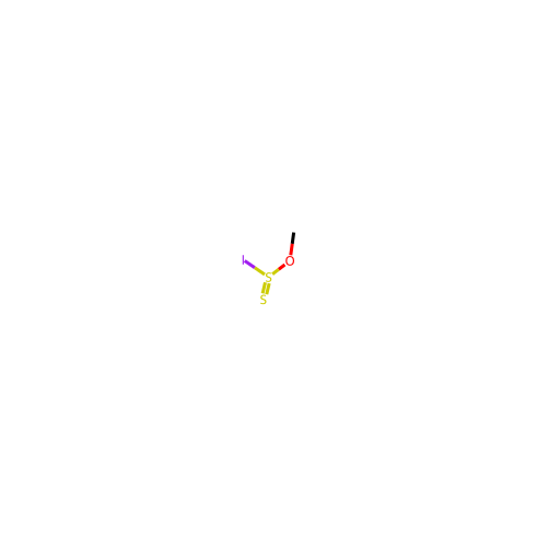 COS(=S)I